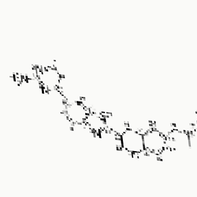 Nc1nccc(-c2ccc3nc(C4COc5ccc(CNC6CC6)cc5C4)sc3c2)n1